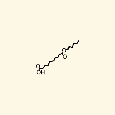 CCCCC=COC(=O)CCCCCCCCC(=O)O